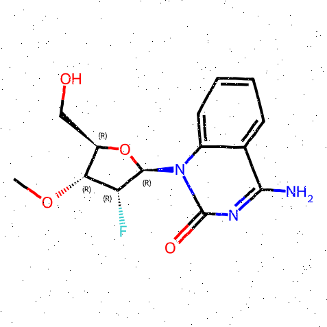 CO[C@H]1[C@@H](F)[C@H](n2c(=O)nc(N)c3ccccc32)O[C@@H]1CO